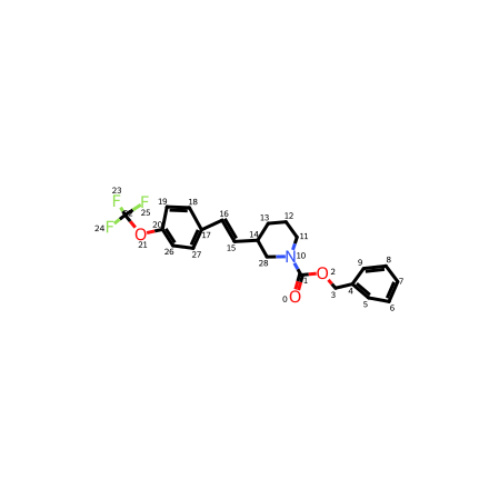 O=C(OCc1ccccc1)N1CCCC(C=Cc2ccc(OC(F)(F)F)cc2)C1